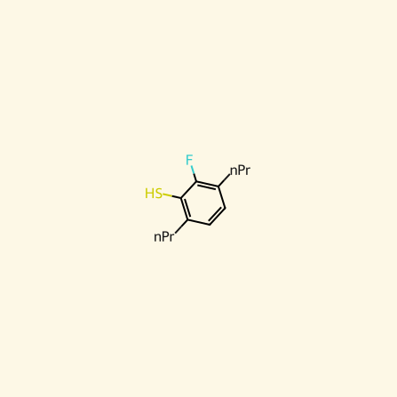 CCCc1ccc(CCC)c(S)c1F